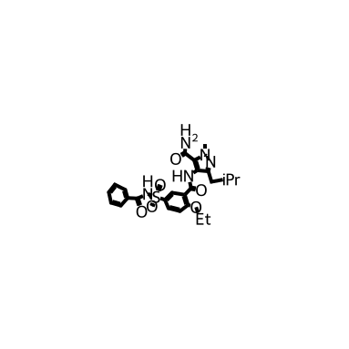 CCOc1ccc(S(=O)(=O)NC(=O)c2ccccc2)cc1C(=O)Nc1c(CC(C)C)nn(C)c1C(N)=O